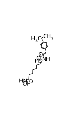 CC(C)c1ccc(/C=C2/N[SH](CCCCCCC(=O)NO)OO2)cc1